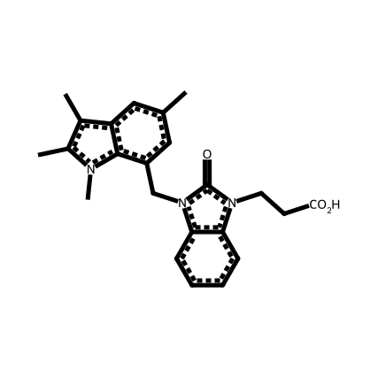 Cc1cc(Cn2c(=O)n(CCC(=O)O)c3ccccc32)c2c(c1)c(C)c(C)n2C